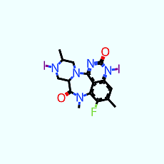 Cc1cc2c3c(nc(=O)n2I)N2CC(C)N(I)CC2C(=O)N(C)c3c1F